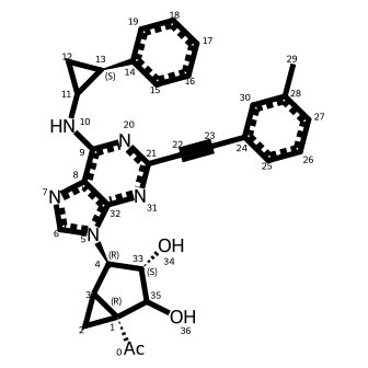 CC(=O)[C@]12CC1[C@@H](n1cnc3c(NC4C[C@H]4c4ccccc4)nc(C#Cc4cccc(C)c4)nc31)[C@H](O)C2O